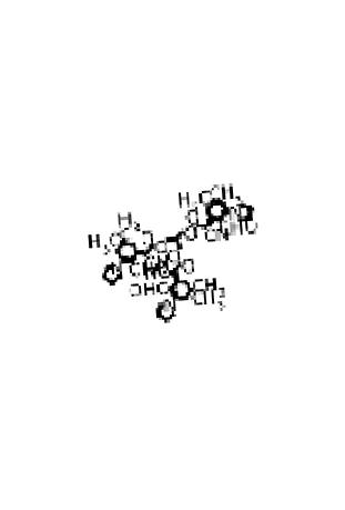 CC1(C)CC(N2CCCC2)=C(C=O)/C(=C(\C#N)C(=O)OCC(COC(=O)/C(C#N)=C2\CC(C)(C)CC(N3CCCC3)=C2C=O)COC(=O)/C(C#N)=C2\CC(C)(C)CC(N3CCCC3)=C2C=O)C1